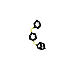 c1ccc(Sc2ccc(SC3c4cccc3c4)cc2)cc1